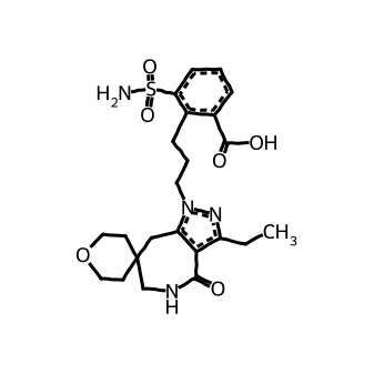 CCc1nn(CCCc2c(C(=O)O)cccc2S(N)(=O)=O)c2c1C(=O)NCC1(CCOCC1)C2